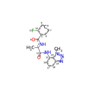 CC(NC(=O)c1ccccc1F)C(=O)Nc1cccc2nnn(C)c12